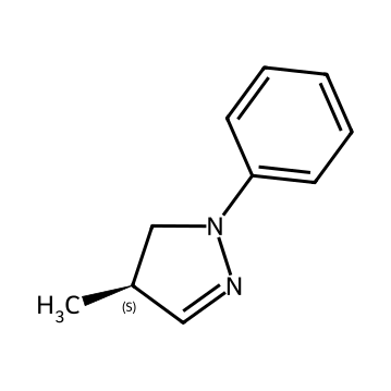 C[C@@H]1C=NN(c2ccccc2)C1